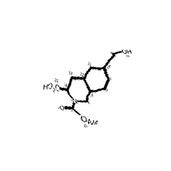 COC(=O)N1CC2CCC(CO)CC2CC1C(=O)O